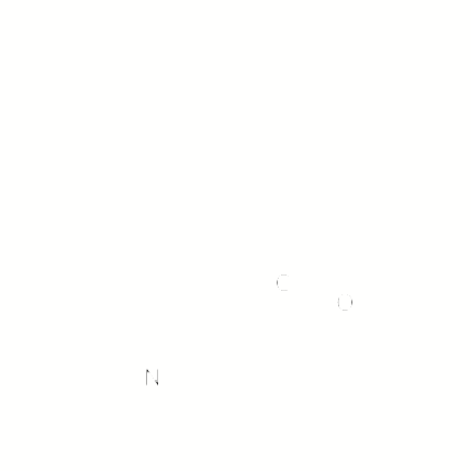 N#CC(=C=O)c1ccccc1